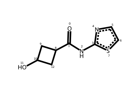 O=C(Nc1nccs1)C1CC(O)C1